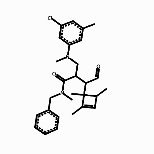 CC1=CC(C)C1(C)C(C=O)C(CN(C)c1cc(C)cc(Cl)c1)C(=O)N(C)Cc1ccccc1